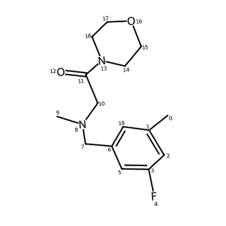 Cc1cc(F)cc(CN(C)CC(=O)N2CCOCC2)c1